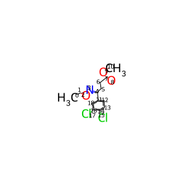 CCO/N=C(/CCC(=O)OC)c1ccc(Cl)c(Cl)c1